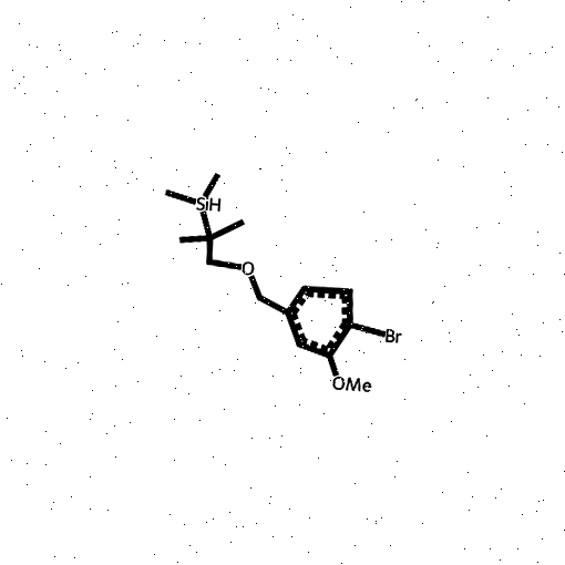 COc1cc(COCC(C)(C)[SiH](C)C)ccc1Br